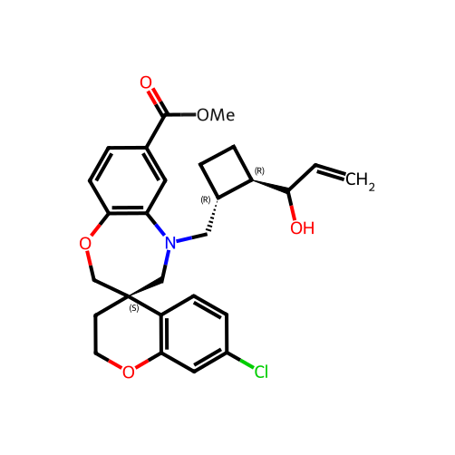 C=CC(O)[C@@H]1CC[C@H]1CN1C[C@@]2(CCOc3cc(Cl)ccc32)COc2ccc(C(=O)OC)cc21